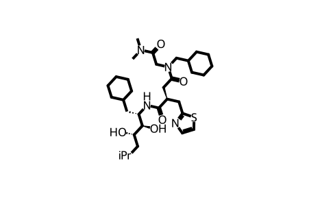 CC(C)C[C@H](O)[C@H](O)[C@H](CC1CCCCC1)NC(=O)[C@@H](CC(=O)N(CC(=O)N(C)C)CC1CCCCC1)Cc1nccs1